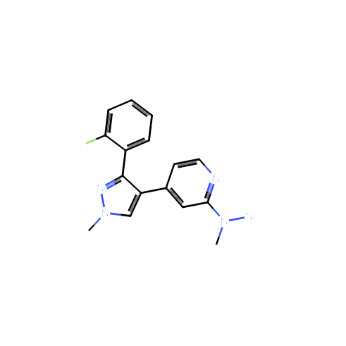 CN(N)c1cc(-c2cn(C)nc2-c2ccccc2F)ccn1